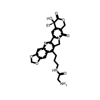 CC[C@@]1(O)C(=O)OCc2c1cc1n(c2=O)Cc2c-1nc1cc3c(cc1c2CCCNC(=O)CN)OCO3